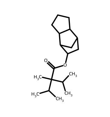 CC(C)C(C)(C(=O)OC1CC2CC1C1CCCC21)C(C)C